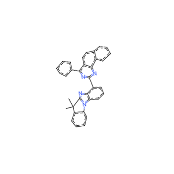 CC1(C)c2ccccc2-n2c1nc1c(-c3nc(-c4ccccc4)c4ccc5ccccc5c4n3)cccc12